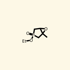 CCOP1(=O)CC2OC2(C)C1